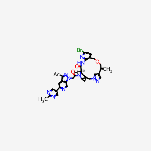 C=C1COCc2ccc(Br)nc2NC(=O)[C@@H]2C[C@]3(CC3N2C(=O)Cn2nc(C(C)=O)c3cc(-c4cnc(C)nc4)ncc32)Cn2cc1cn2